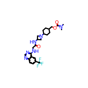 CN(C)C(=O)OCC1CCC(N2CC(NC(=O)CNc3ncnc4ccc(C(F)(F)F)cc34)C2)CC1